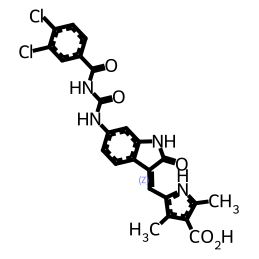 Cc1[nH]c(/C=C2\C(=O)Nc3cc(NC(=O)NC(=O)c4ccc(Cl)c(Cl)c4)ccc32)c(C)c1C(=O)O